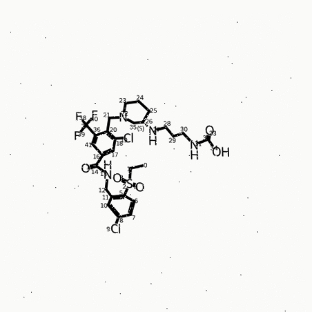 CCS(=O)(=O)c1ccc(Cl)cc1CNC(=O)c1cc(Cl)c(CN2CCC[C@H](NCCCNC(=O)O)C2)c(C(F)(F)F)c1